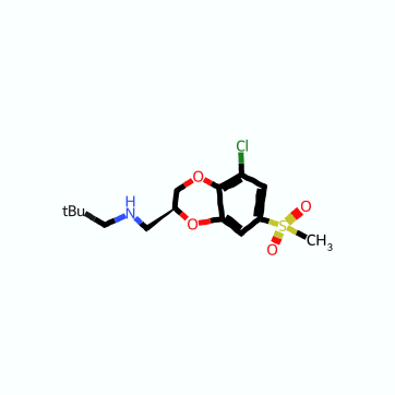 CC(C)(C)CNC[C@H]1COc2c(Cl)cc(S(C)(=O)=O)cc2O1